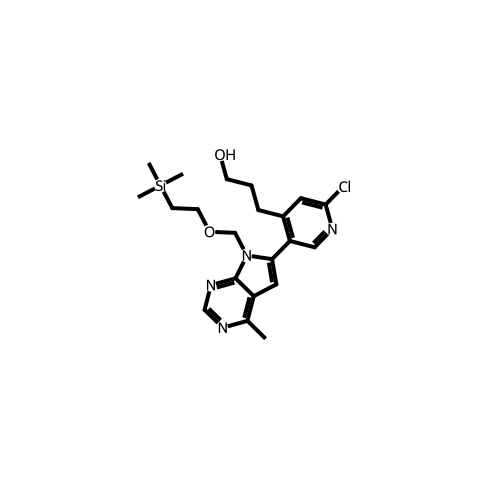 Cc1ncnc2c1cc(-c1cnc(Cl)cc1CCCO)n2COCC[Si](C)(C)C